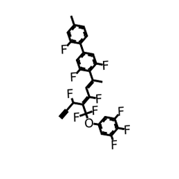 C#CC(F)/C(=C(F)\C=C(/C)c1c(F)cc(-c2ccc(C)cc2F)cc1F)C(F)(F)Oc1cc(F)c(F)c(F)c1